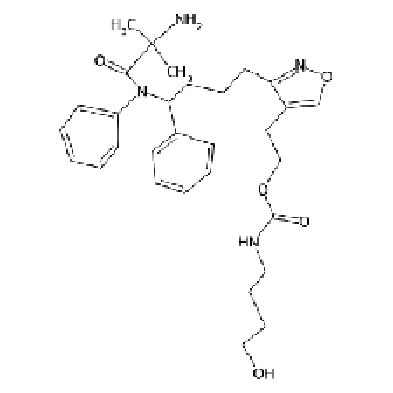 CC(C)(N)C(=O)N(c1ccccc1)C(CCCc1nocc1CCOC(=O)NCCCCO)c1ccccc1